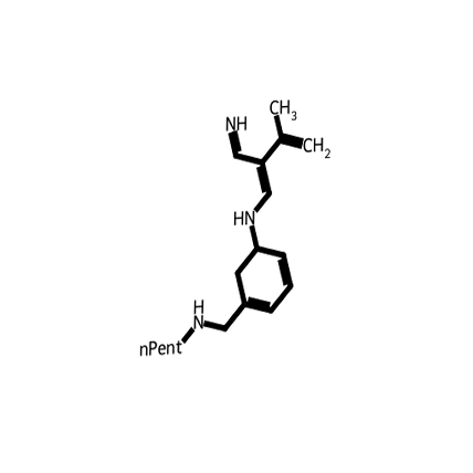 C=C(C)/C(C=N)=C/NC1C=CC=C(CNCCCCC)C1